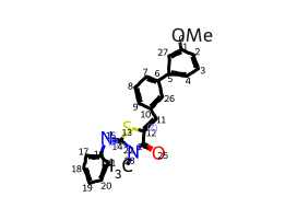 COc1cccc(-c2cccc(/C=C3\S/C(=N/c4ccccc4)N(C)C3=O)c2)c1